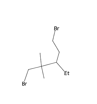 CCC(CCBr)C(C)(C)CBr